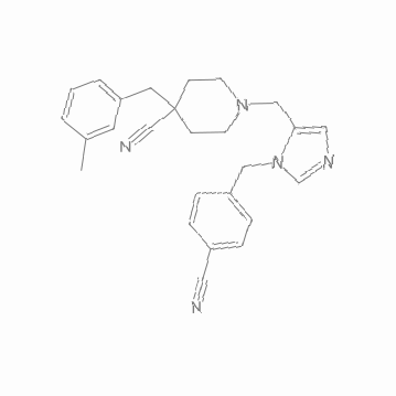 Cc1cccc(CC2(C#N)CCN(Cc3cncn3Cc3ccc(C#N)cc3)CC2)c1